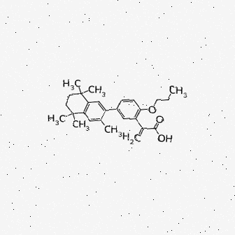 C=C(C(=O)O)c1cc(-c2cc3c(cc2C)C(C)(C)CCC3(C)C)ccc1OCCC